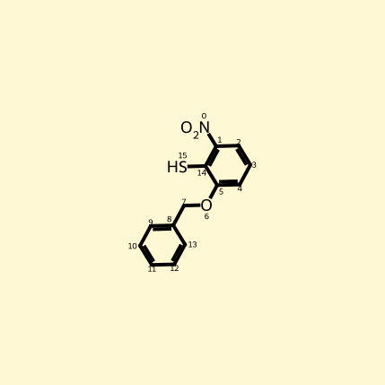 O=[N+]([O-])c1cccc(OCc2ccccc2)c1S